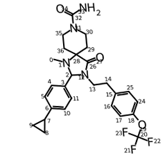 CN1C(c2ccc(C3CC3)cc2)N(CCc2ccc(OC(F)(F)F)cc2)C(=O)C12CCN(C(N)=O)CC2